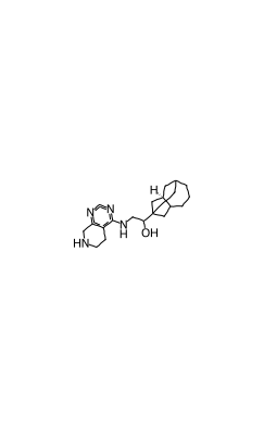 OC(CNc1ncnc2c1CCNC2)C12CC3CCCC(C1)[C@H](C3)C2